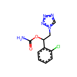 NC(=O)OC(Cn1cnnn1)c1ccccc1Cl